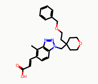 Cc1c(/C=C/C(=O)O)ccc2c1nnn2CC1(CCOCc2ccccc2)CCOCC1